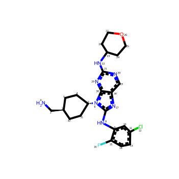 NC[C@H]1CC[C@H](n2c(Nc3cc(Cl)ccc3F)nc3cnc(NC4CCOCC4)nc32)CC1